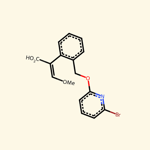 CO/C=C(/C(=O)O)c1ccccc1COc1cccc(Br)n1